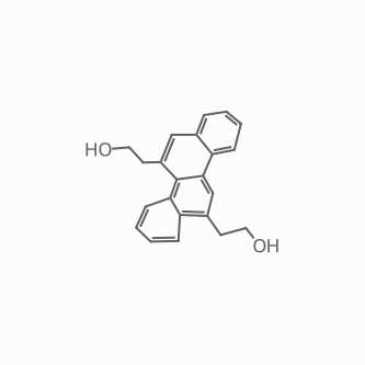 OCCc1cc2c3ccccc3cc(CCO)c2c2ccccc12